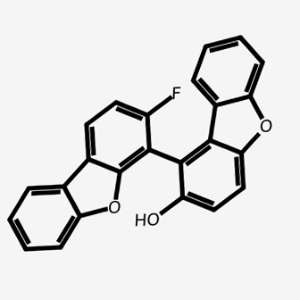 Oc1ccc2oc3ccccc3c2c1-c1c(F)ccc2c1oc1ccccc12